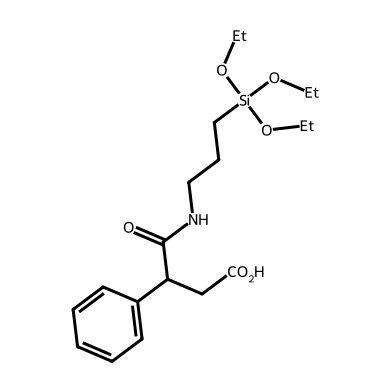 CCO[Si](CCCNC(=O)C(CC(=O)O)c1ccccc1)(OCC)OCC